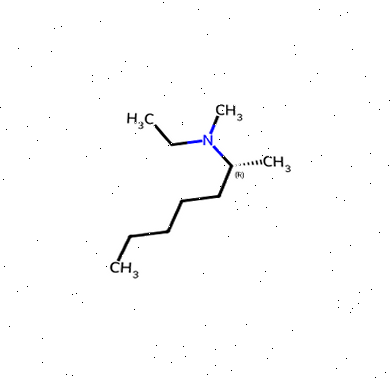 CCCCC[C@@H](C)N(C)CC